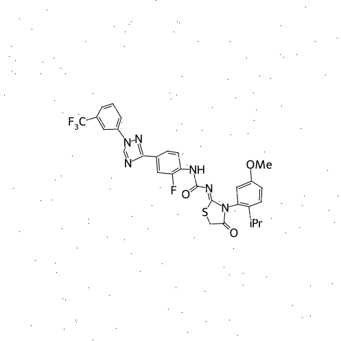 COc1ccc(C(C)C)c(N2C(=O)CSC2=NC(=O)Nc2ccc(-c3ncn(-c4cccc(C(F)(F)F)c4)n3)cc2F)c1